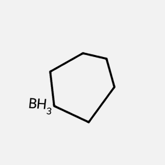 B.C1CCCCC1